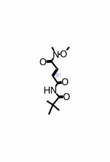 CON(C)C(=O)/C=C/C(=O)NC(=O)C(C)(C)C